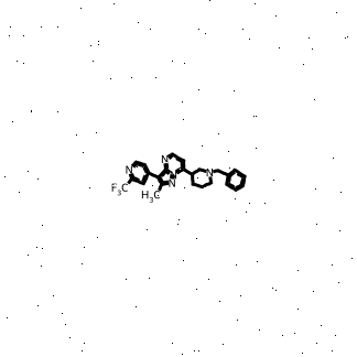 Cc1nn2c(C3CCCN(Cc4ccccc4)C3)ccnc2c1-c1ccnc(C(F)(F)F)c1